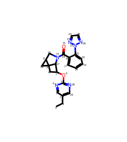 CCc1cnc(OC2CC34CC3CN(C(=O)c3ccccc3-n3nccn3)C24)nc1